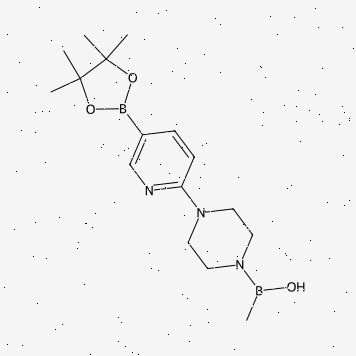 CB(O)N1CCN(c2ccc(B3OC(C)(C)C(C)(C)O3)cn2)CC1